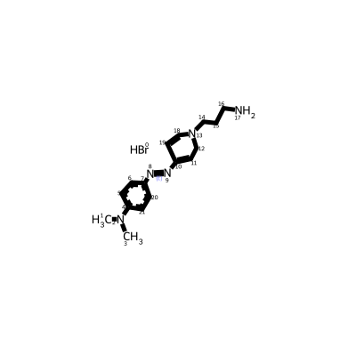 Br.CN(C)c1ccc(/N=N/C2=CCN(CCCN)C=C2)cc1